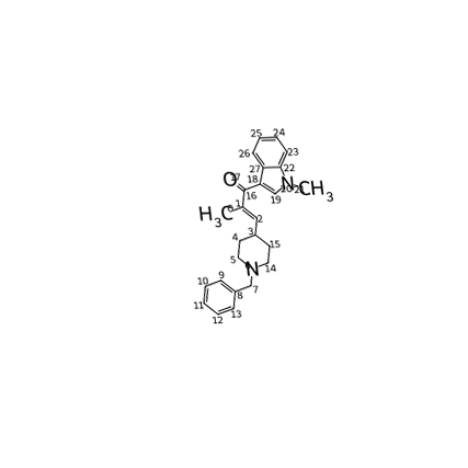 CC(=CC1CCN(Cc2ccccc2)CC1)C(=O)c1cn(C)c2ccccc12